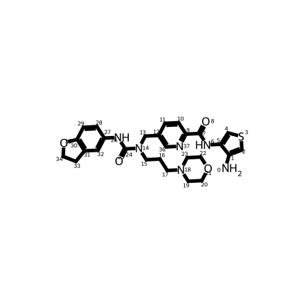 Nc1cscc1NC(=O)c1ccc(CN(CCCN2CCOCC2)C(=O)Nc2ccc3c(c2)CCO3)cn1